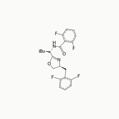 CC[C@H](C)[C@H](NC(=O)c1c(F)cccc1F)C1=N[C@@H](Cc2c(F)cccc2F)CO1